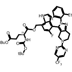 CCc1cccc(CC)c1-n1nc2c(c1-c1c(F)cc(COC(=O)[C@H](CCC(=O)OCC(C)C)NC(=O)OC(C)(C)C)c3[nH]ccc13)CN(c1ncc(C(F)(F)F)cn1)CC2